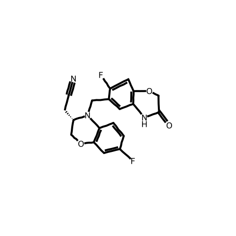 N#CC[C@H]1COc2cc(F)ccc2N1Cc1cc2c(cc1F)OCC(=O)N2